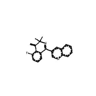 C=C1c2c(F)cccc2C(c2cnc3ccccc3c2)=NC1(C)C